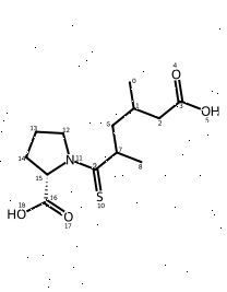 CC(CC(=O)O)CC(C)C(=S)N1CCC[C@H]1C(=O)O